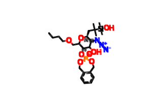 CCCCOCC1O[C@@H](CC(C)(C)[Si](C)(C)O)[C@@H](N=[N+]=[N-])C(O)[C@@H]1OP1(=O)OCc2ccccc2CO1